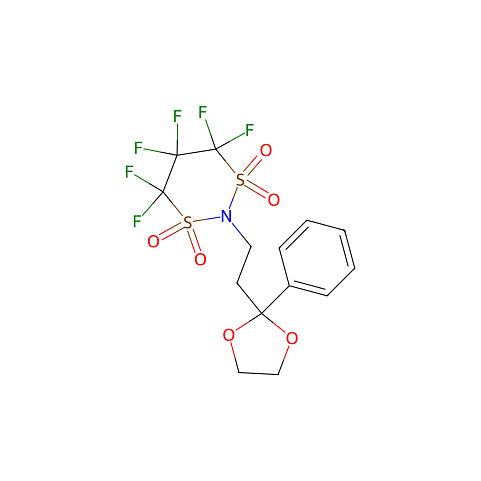 O=S1(=O)N(CCC2(c3ccccc3)OCCO2)S(=O)(=O)C(F)(F)C(F)(F)C1(F)F